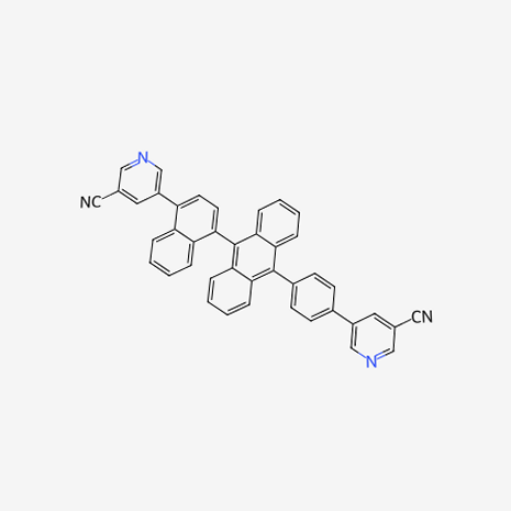 N#Cc1cncc(-c2ccc(-c3c4ccccc4c(-c4ccc(-c5cncc(C#N)c5)c5ccccc45)c4ccccc34)cc2)c1